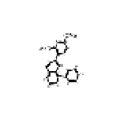 COc1ccc(-c2ccc3nccc(-c4ccncc4)c3c2)c(OC)n1